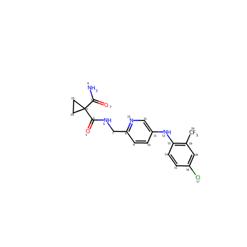 NC(=O)C1(C(=O)NCc2ccc(Nc3ccc(Cl)cc3C(F)(F)F)cn2)CC1